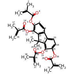 C=C(C)C(=O)Oc1ccc2c(c1OC(=O)C(=C)C)C(C)(C)c1c-2ccc(OC(=O)C(=C)C)c1OC(=O)C(=C)C